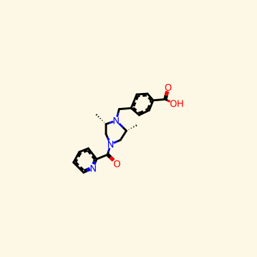 C[C@@H]1CN(C(=O)c2ccccn2)C[C@H](C)N1Cc1ccc(C(=O)O)cc1